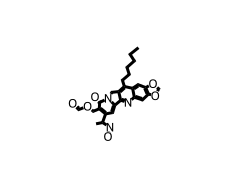 CCCCCCc1c2c(nc3cc4c(cc13)OCO4)-c1cc(C(C)N=O)c(COC=O)c(=O)n1C2